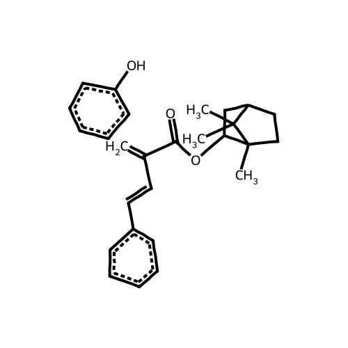 C=C(C=Cc1ccccc1)C(=O)OC1CC2CCC1(C)C2(C)C.Oc1ccccc1